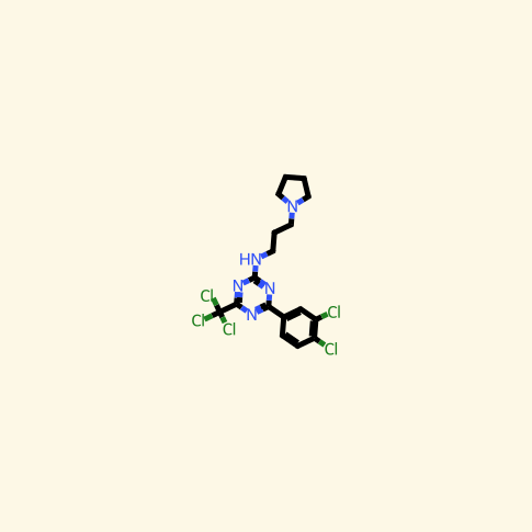 Clc1ccc(-c2nc(NCCCN3CCCC3)nc(C(Cl)(Cl)Cl)n2)cc1Cl